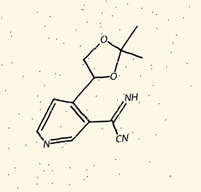 CC1(C)OCC(c2ccncc2C(=N)C#N)O1